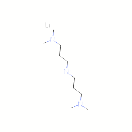 CN(C)CCC[N-]CCCN(C)C.[Li+]